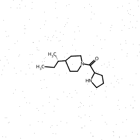 CC[C@H](C)C1CCN(C(=O)C2CCCN2)CC1